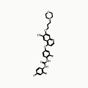 [C-]#[N+]c1cc2c(Oc3ccc(NC(=O)Nc4ccc(F)cc4F)c(F)c3)ccnc2cc1OCCCN1CCOCC1